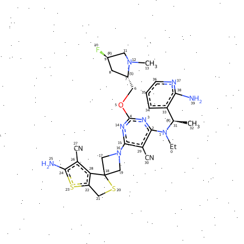 CCN(c1nc(OC[C@@H]2C[C@@H](F)CN2C)nc(N2CC3(C2)SCc2sc(N)c(C#N)c23)c1C#N)[C@H](C)c1cccnc1N